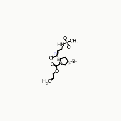 C=CCOC(=O)N1C[C@@H](S)C[C@H]1/C(Cl)=C\CNS(C)(=O)=O